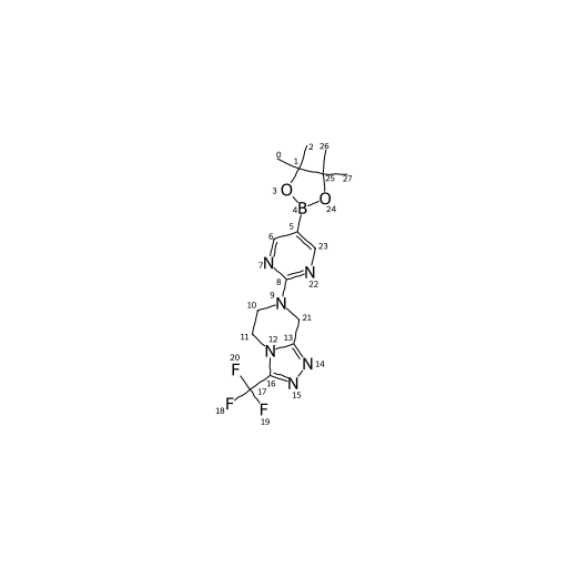 CC1(C)OB(c2cnc(N3CCn4c(nnc4C(F)(F)F)C3)nc2)OC1(C)C